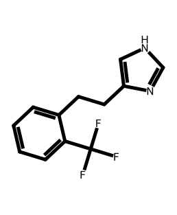 FC(F)(F)c1ccccc1CCc1c[nH]cn1